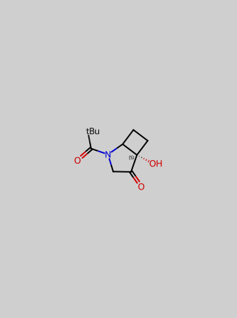 CC(C)(C)C(=O)N1CC(=O)[C@]2(O)CCC12